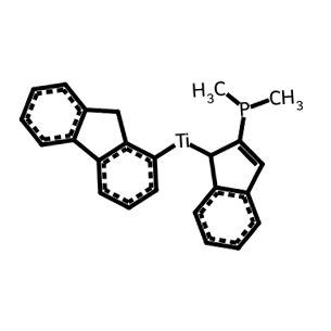 CP(C)C1=Cc2ccccc2[CH]1[Ti][c]1cccc2c1Cc1ccccc1-2